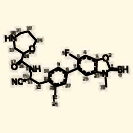 B=C1Oc2cc(F)c(-c3ccc(C[C@@H](C#N)NC(=O)C4CNCCCO4)c(F)c3)cc2N1C